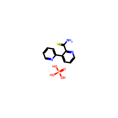 NC(=S)c1ncccc1-c1ccccn1.O=P(O)(O)O